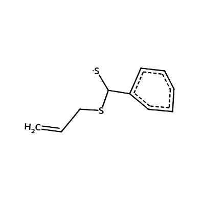 C=CCSC([S])c1ccccc1